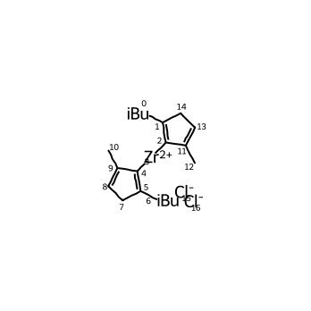 CCC(C)C1=[C]([Zr+2][C]2=C(C(C)CC)CC=C2C)C(C)=CC1.[Cl-].[Cl-]